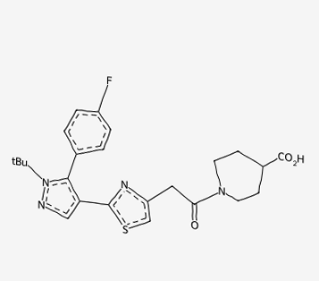 CC(C)(C)n1ncc(-c2nc(CC(=O)N3CCC(C(=O)O)CC3)cs2)c1-c1ccc(F)cc1